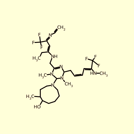 C=C/N=C(\C=C(/CC)NCC1=NC(C/C=C\C=C(/NC)C(F)(F)F)N(C)C(N2CCCCC(O)C(C)CC2)N1C)C(F)(F)F